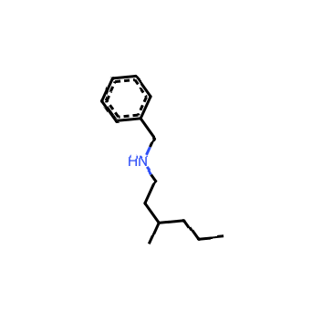 CCCC(C)CCNCc1ccccc1